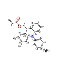 C=CC(=O)OCCc1ccccc1N(c1ccc(CCC)cc1)c1ccc(C)c(C)c1